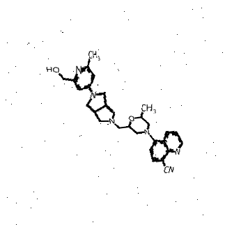 Cc1cc(N2CC3CN(CC4CN(c5ccc(C#N)c6ncccc56)CC(C)O4)CC3C2)cc(CO)n1